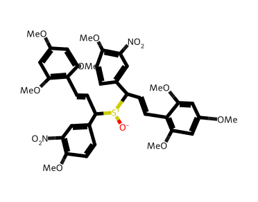 COc1cc(OC)c(C=CC(c2ccc(OC)c([N+](=O)[O-])c2)[S+]([O-])C(C=Cc2c(OC)cc(OC)cc2OC)c2ccc(OC)c([N+](=O)[O-])c2)c(OC)c1